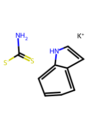 NC(=S)[S-].[K+].c1ccc2[nH]ccc2c1